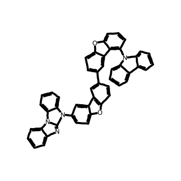 c1ccc2c(c1)nc1n(-c3ccc4oc5ccc(-c6ccc7oc8cccc(-n9c%10ccccc%10c%10ccccc%109)c8c7c6)cc5c4c3)c3ccccc3n21